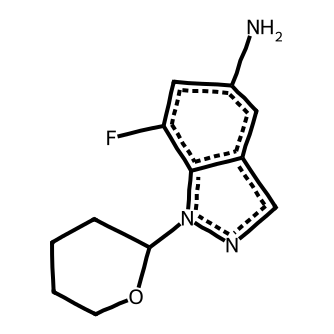 Nc1cc(F)c2c(cnn2C2CCCCO2)c1